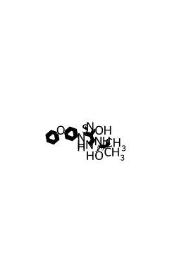 CC(C)[C@H](CO)NC(=N)c1c(O)nsc1Nc1ccc(Oc2ccccc2)cc1